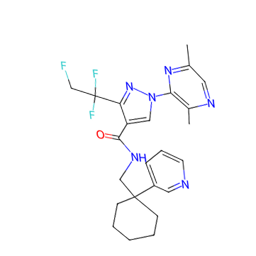 Cc1cnc(C)c(-n2cc(C(=O)NCC3(c4cccnc4)CCCCC3)c(C(F)(F)CF)n2)n1